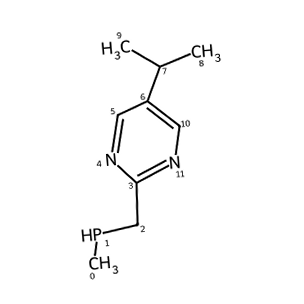 CPCc1ncc(C(C)C)cn1